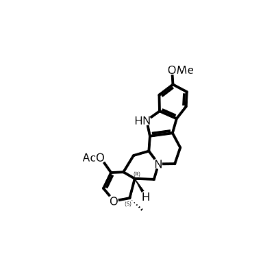 COc1ccc2c3c([nH]c2c1)C1CC2C(OC(C)=O)=CO[C@@H](C)[C@H]2CN1CC3